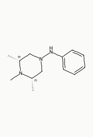 C[C@@H]1CN(Nc2ccccc2)C[C@H](C)N1C